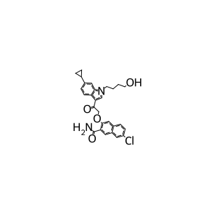 NC(=O)c1cc2cc(Cl)ccc2cc1OCC(=O)c1cn(CCCCO)c2cc(C3CC3)ccc12